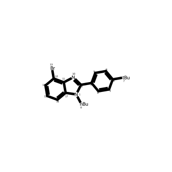 CCCCn1c(-c2ccc(C(C)(C)C)cc2)nc2c(Br)cccc21